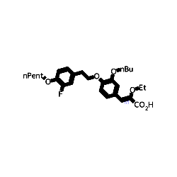 CCCCCOc1ccc(CCOc2ccc(/C=C(\OCC)C(=O)O)cc2OCCCC)cc1F